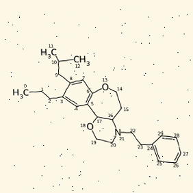 CCCc1cc2c(cc1CC(C)C)OCCC1C2OCCN1CCc1ccccc1